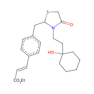 CCOC(=O)/C=C/c1ccc(CC2SCC(=O)N2CCC2(O)CCCCC2)cc1